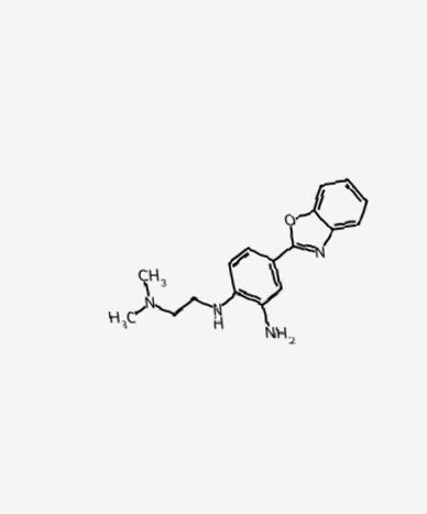 CN(C)CCNc1ccc(-c2nc3ccccc3o2)cc1N